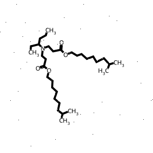 CCCC(CC)N(CCC(=O)OCCCCCCCC(C)C)CCC(=O)OCCCCCCCC(C)C